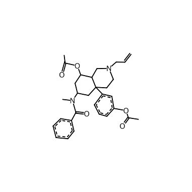 C=CCN1CCC2(c3cccc(OC(C)=O)c3)CC(N(C)C(=O)c3ccccc3)CC(OC(C)=O)C2C1